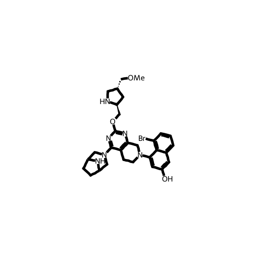 COC[C@H]1CN[C@H](COc2nc3c(c(N4CC5CCC(C4)N5)n2)CCN(c2cc(O)cc4cccc(Br)c24)C3)C1